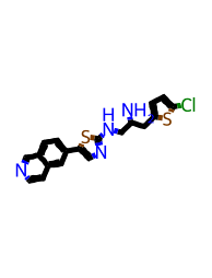 NC(CNc1ncc(-c2ccc3cnccc3c2)s1)Cc1ccc(Cl)s1